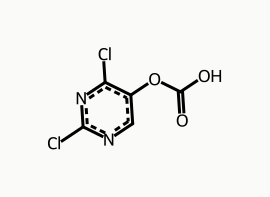 O=C(O)Oc1cnc(Cl)nc1Cl